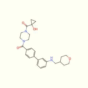 O=C(c1ccc(-c2cccc(NCC3CCOCC3)c2)cc1)N1CCN(C(=O)C2(O)CC2)CC1